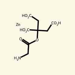 NCC(=O)OC(CC(=O)O)(CC(=O)O)C(=O)O.[Zn]